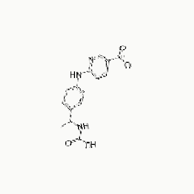 CC(NC(=O)O)c1ccc(Nc2ccc([N+](=O)[O-])cn2)cc1